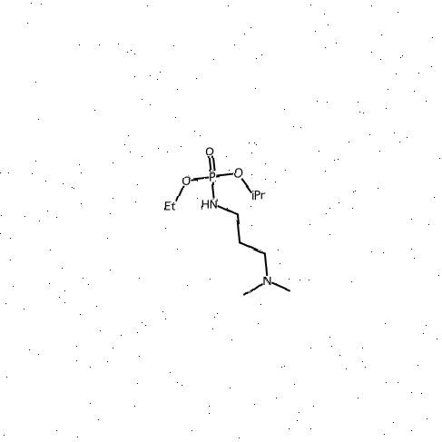 CCOP(=O)(NCCCN(C)C)OC(C)C